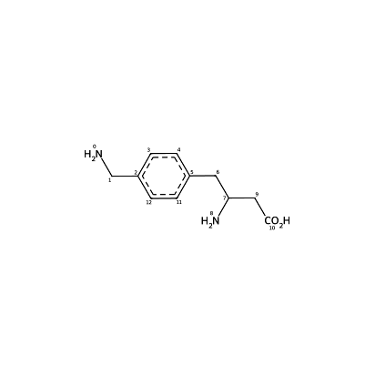 NCc1ccc(CC(N)CC(=O)O)cc1